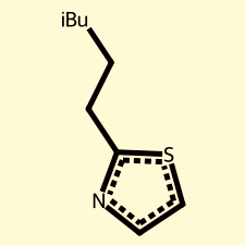 [CH2]CC(C)CCc1nccs1